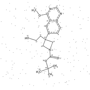 COc1ncnc2ccc(C3(CCO)CN(C(=O)OC(C)(C)C)C3)cc12